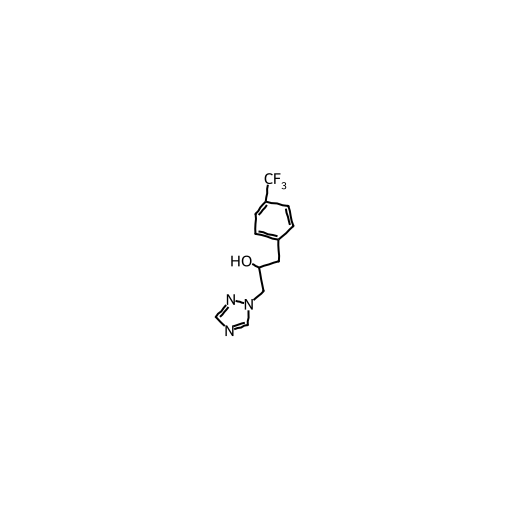 OC(Cc1ccc(C(F)(F)F)cc1)Cn1cncn1